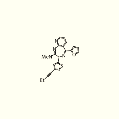 CCC#Cc1csc(C2N=C(c3ccco3)c3cccnc3N=C2NC)c1